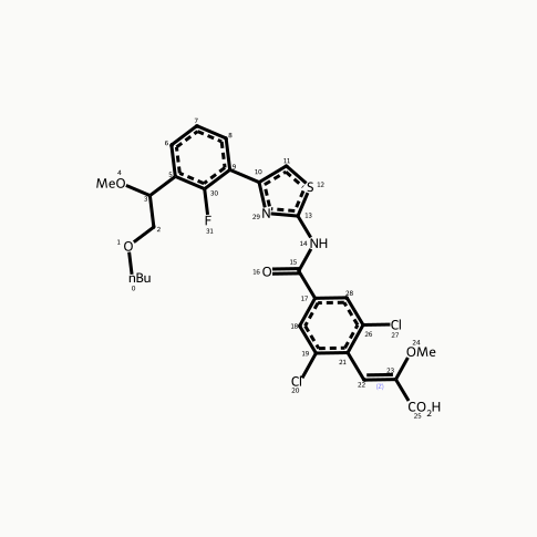 CCCCOCC(OC)c1cccc(-c2csc(NC(=O)c3cc(Cl)c(/C=C(\OC)C(=O)O)c(Cl)c3)n2)c1F